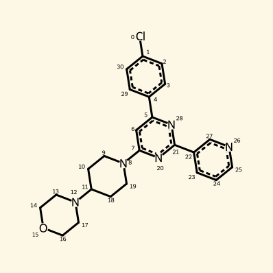 Clc1ccc(-c2cc(N3CCC(N4CCOCC4)CC3)nc(-c3cccnc3)n2)cc1